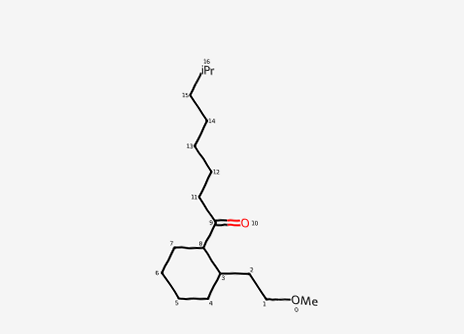 COCCC1CCCCC1C(=O)CCCCCC(C)C